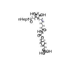 CCCCCCCC(=O)CC[C@@H]1[C@@H](C/C=C\CCCC(=O)NCC(=O)OCc2ccc(CON(O)O)cc2)[C@@H](O)C[C@H]1O